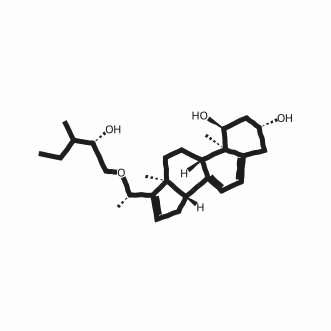 CCC(C)[C@H](O)CO[C@@H](C)C1=CC[C@H]2C3=CC=C4C[C@@H](O)C[C@H](O)[C@]4(C)[C@H]3CC[C@]12C